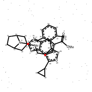 COC(=O)c1ccc2nc(N3C4CCC3CC(NCc3c(-c5c(Cl)cccc5Cl)noc3C3CC3)C4)sc2c1